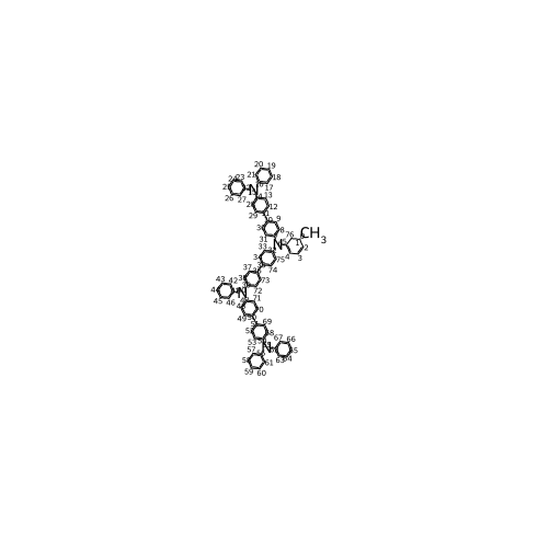 CC1C=CC=C(N(c2ccc(-c3ccc(N(c4ccccc4)c4ccccc4)cc3)cc2)c2ccc(-c3ccc(N(c4ccccc4)c4ccc(-c5ccc(N(c6ccccc6)c6ccccc6)cc5)cc4)cc3)cc2)C1